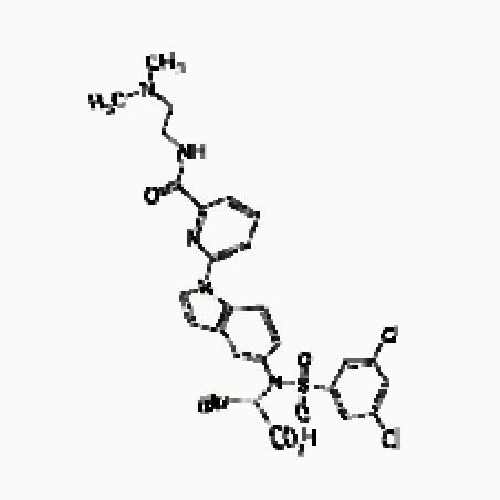 CN(C)CCNC(=O)c1cccc(-n2ccc3cc(N(C(C(=O)O)C(C)(C)C)S(=O)(=O)c4cc(Cl)cc(Cl)c4)ccc32)n1